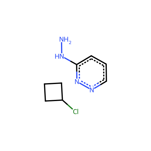 ClC1CCC1.NNc1cccnn1